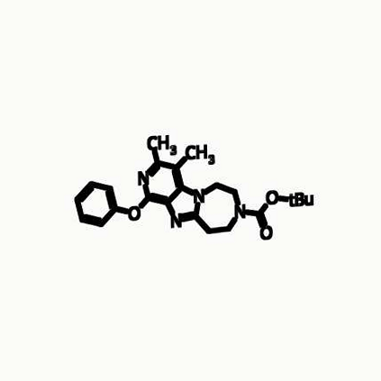 Cc1nc(Oc2ccccc2)c2nc3n(c2c1C)CCN(C(=O)OC(C)(C)C)CC3